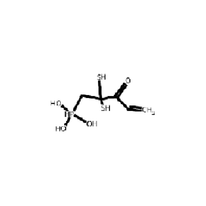 C=CC(=O)C(S)(S)C[PH](O)(O)O